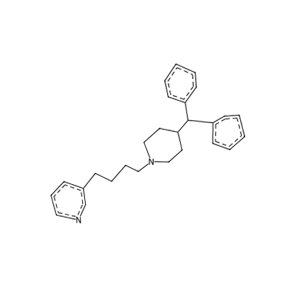 c1ccc(C(c2ccccc2)C2CCN(CCCCc3cccnc3)CC2)cc1